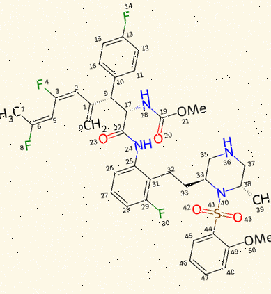 C=C(/C=C(F)\C=C(/C)F)[C@H](c1ccc(F)cc1)[C@H](NC(=O)OC)C(=O)Nc1cccc(F)c1CC[C@H]1CNC[C@H](C)N1S(=O)(=O)c1ccccc1OC